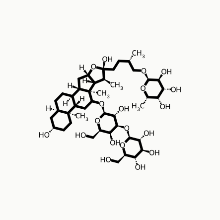 C[C@@H](CC[C@@]1(O)O[C@H]2C[C@H]3[C@@H]4CC[C@@H]5C[C@@H](O)CC[C@]5(C)[C@H]4CC(O[C@@H]4O[C@H](CO)[C@H](O)[C@H](O[C@@H]5O[C@H](CO)[C@@H](O)[C@H](O)[C@H]5O)[C@H]4O)[C@]3(C)[C@H]2[C@@H]1C)CO[C@@H]1O[C@@H](C)[C@@H](O)[C@@H](O)[C@@H]1O